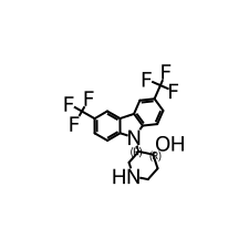 O[C@@H]1CCNC[C@H]1n1c2ccc(C(F)(F)F)cc2c2cc(C(F)(F)F)ccc21